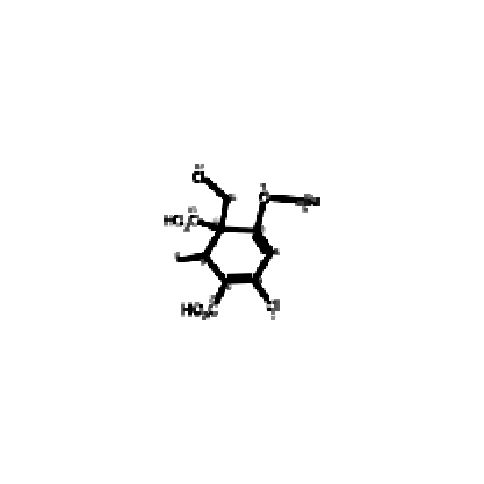 CCCCOC1=CC(Cl)=C(C(=O)O)C(C)C1(CCl)C(=O)O